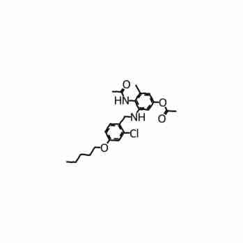 CCCCCOc1ccc(CNc2cc(OC(C)=O)cc(C)c2NC(C)=O)c(Cl)c1